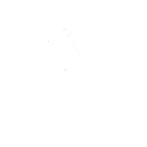 CCCc1cc(C=CC(=O)c2ccc(OC(=O)C(C)(C)C)cc2)c(OC)c(OC)c1OC(=O)C(C)(C)C